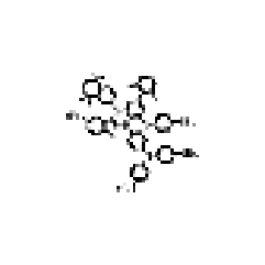 Cc1cccc(C)c1-c1cc2c3c(c1)N(c1ccc4c(c1)C(C)(C)CCC4(C)C)c1c(sc4ccc(C(C)(C)C)cc14)B3c1ccc(N(c3ccc(C(C)(C)C)cc3)c3ccc(C(C)(C)C)cc3)cc1N2c1ccc(C(C)(C)C)cc1